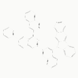 c1ccc(-c2ccc3nc(-c4cc(-n5c6ccccc6c6cc7ccccc7cc65)c5ccccc5c4)nc(-c4ccc5ccccc5c4)c3c2)cc1